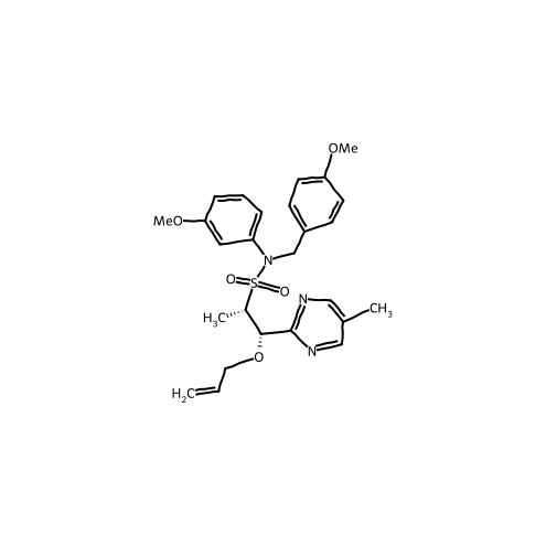 C=CCO[C@@H](c1ncc(C)cn1)[C@H](C)S(=O)(=O)N(Cc1ccc(OC)cc1)c1cccc(OC)c1